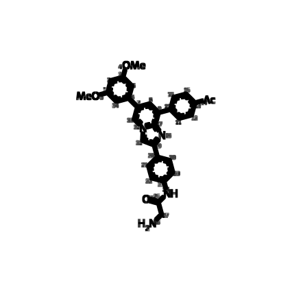 COc1cc(OC)cc(-c2cc(-c3ccc(C(C)=O)cc3)c3nc(-c4ccc(NC(=O)CN)cc4)cn3c2)c1